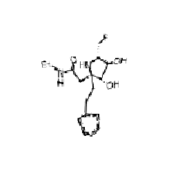 CCNC(=O)C[C@@]1(CCc2ccccc2)N[C@H](CF)[C@@H](O)[C@@H]1O